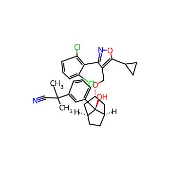 CC(C)(C#N)c1cccc([C@]2(O)[C@@H]3CC[C@H]2C[C@H](OCc2c(-c4c(Cl)cccc4Cl)noc2C2CC2)C3)c1